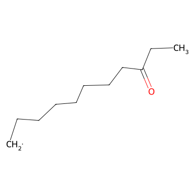 [CH2]CCCCCCCC(=O)CC